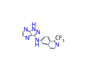 FC(F)(F)c1nccc2cc(Nc3n[nH]c4nccnc34)ccc12